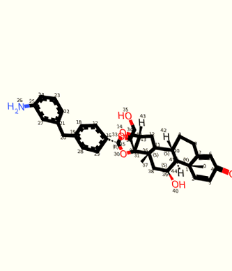 C[C@]12C=CC(=O)C=C1CC[C@H]1C3C[C@H]4O[C@@H](c5ccc(Cc6cccc(N)c6)cc5)O[C@@]4(C(=O)CO)[C@@]3(C)C[C@H](O)[C@@H]12